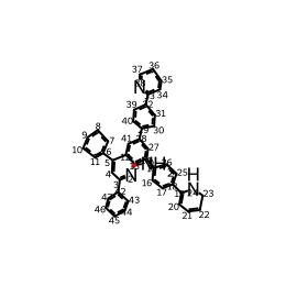 NC/N=C(\C=C(\c1ccccc1)c1cc(-c2ccc(C3=CC=CCN3)cc2)cc(-c2ccc(-c3ccccn3)cc2)c1)c1ccccc1